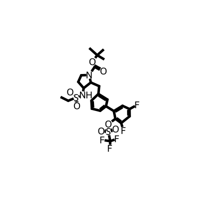 CCS(=O)(=O)NC1CCN(C(=O)OC(C)(C)C)C1Cc1cccc(-c2cc(F)cc(F)c2OS(=O)(=O)C(F)(F)F)c1